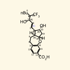 CCCC[C@H]([C@H](O)/C=C/[C@@H]1[C@H]2CCc3ccc(C(=O)O)cc3O[C@H]2C[C@H]1O)C(F)(F)F